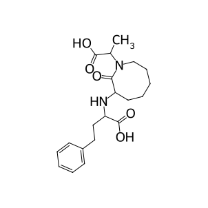 CC(C(=O)O)N1CCCCCC(NC(CCc2ccccc2)C(=O)O)C1=O